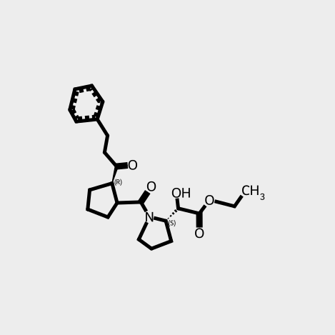 CCOC(=O)C(O)[C@@H]1CCCN1C(=O)C1CCC[C@H]1C(=O)CCc1ccccc1